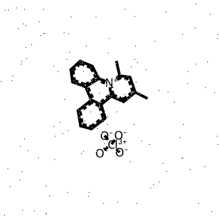 Cc1cc(C)[n+]2c3ccccc3c3ccccc3c2c1.[O-][Cl+3]([O-])([O-])[O-]